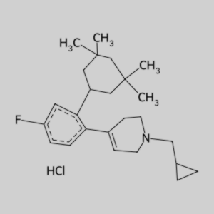 CC1(C)CC(c2cc(F)ccc2C2=CCN(CC3CC3)CC2)CC(C)(C)C1.Cl